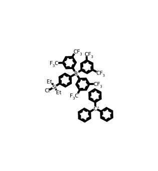 CC[Si](Cl)(CC)c1ccc([B-](c2cc(C(F)(F)F)cc(C(F)(F)F)c2)(c2cc(C(F)(F)F)cc(C(F)(F)F)c2)c2cc(C(F)(F)F)cc(C(F)(F)F)c2)cc1.c1ccc([C+](c2ccccc2)c2ccccc2)cc1